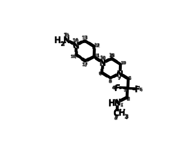 CNCC(F)(F)CN1CCN(C2CCN(N)CC2)CC1